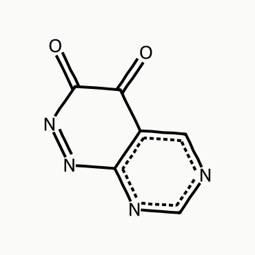 O=C1N=Nc2ncncc2C1=O